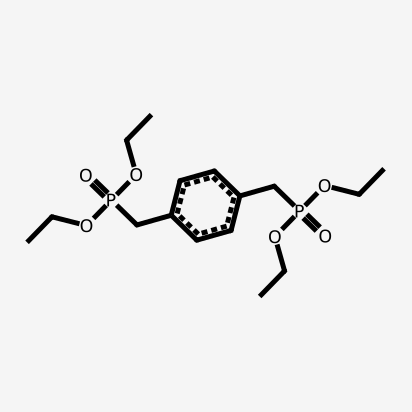 CCOP(=O)(Cc1ccc(CP(=O)(OCC)OCC)cc1)OCC